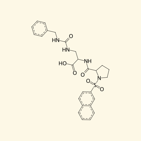 O=C(NCc1ccccc1)NCC(NC(=O)C1CCCN1S(=O)(=O)c1ccc2ccccc2c1)C(=O)O